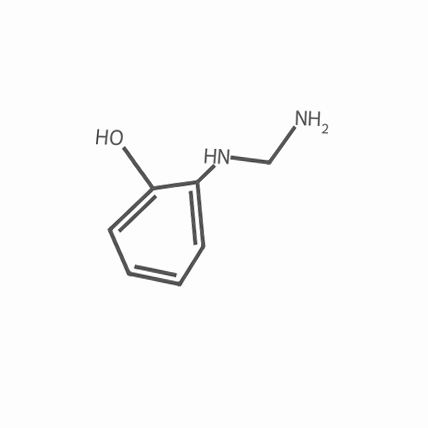 NCNc1ccccc1O